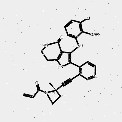 C=CC(=O)N1CC[C@@]1(C)C#Cc1cnccc1-c1[nH]c2c(c1Nc1cccc(Cl)c1OC)C(=O)NCC2